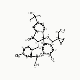 CC(C)(O)c1ccc2c(c1)C(=O)C(Cc1ccc(Cl)cc1C(=O)O)[C@@]2(OCC1(CO)CC1)c1ccc(Cl)cc1